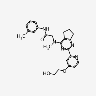 Cc1cccc(NC(=O)CN(C)c2nc(-c3cc(OCCO)ccn3)nc3c2CCC3)c1